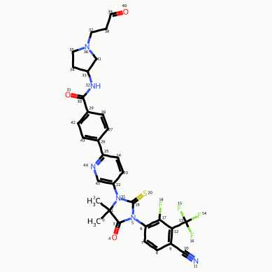 CC1(C)C(=O)N(c2ccc(C#N)c(C(F)(F)F)c2F)C(=S)N1c1ccc(-c2ccc(C(=O)NC3CCN(CCC=O)C3)cc2)nc1